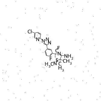 CN=[S@@]1C[C@@](CF)(c2cc(-c3cn(-c4ccc(Cl)cn4)nn3)ccc2F)N=C(N)C1(C)C